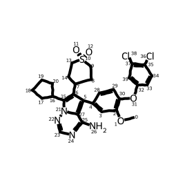 COc1cc(-c2c(C3CCS(=O)(=O)CC3)c(C3CCCC3)n3ncnc(N)c23)ccc1Oc1ccc(Cl)c(Cl)c1